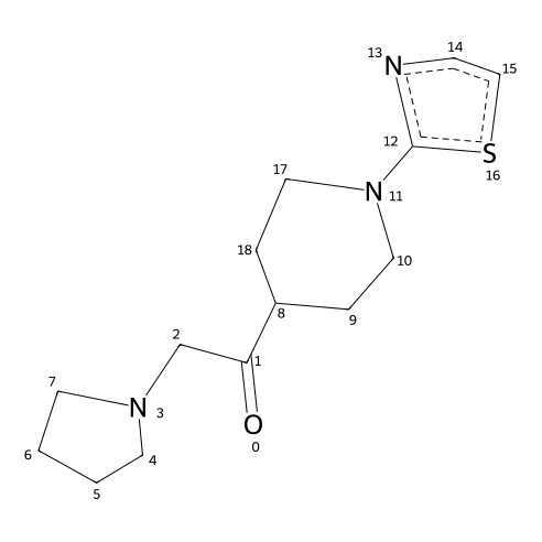 O=C(CN1CCCC1)C1CCN(c2nccs2)CC1